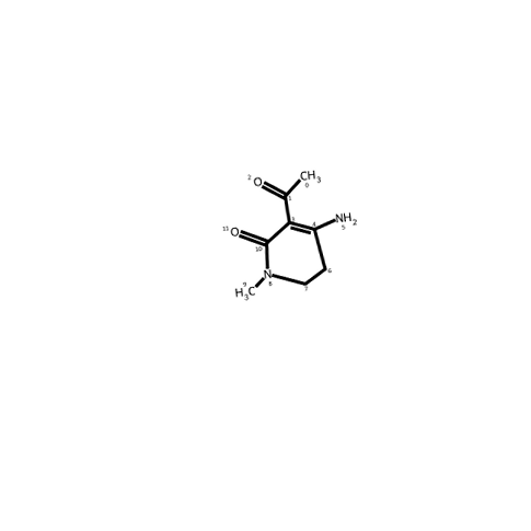 CC(=O)C1=C(N)CCN(C)C1=O